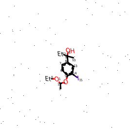 CCOC(C)Oc1ccc(C(C)(O)CC)cc1I